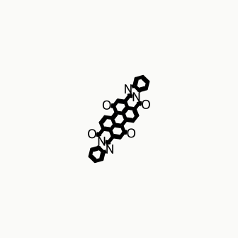 O=c1cc2c3c(ccc4c5c(=O)cc6c7c(ccc(c1c43)c57)c(=O)n1c3ccccc3nc61)c(=O)n1c3ccccc3nc21